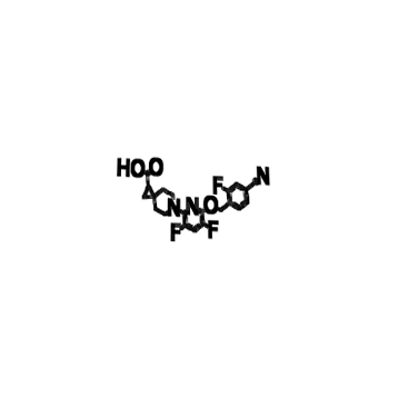 N#Cc1ccc(COc2nc(N3CCC4(CC3)CC4C(=O)O)c(F)cc2F)c(F)c1